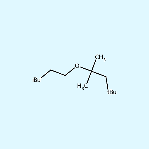 CCC(C)CCOC(C)(C)CC(C)(C)C